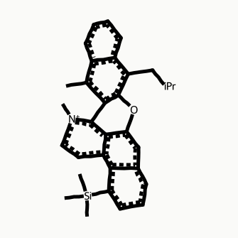 Cc1c2c(c(CC(C)C)c3ccccc13)Oc1cc3cccc([Si](C)(C)C)c3c3cc[n+](C)c-2c13